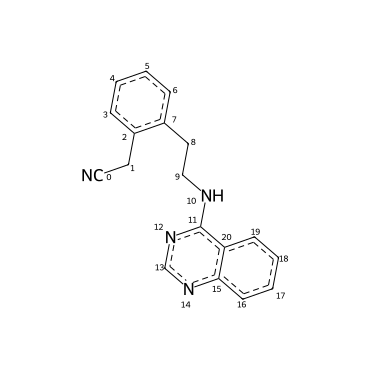 N#CCc1ccccc1CCNc1ncnc2ccccc12